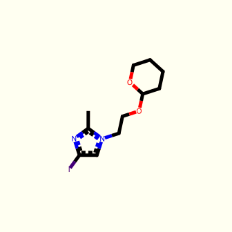 Cc1nc(I)cn1CCOC1CCCCO1